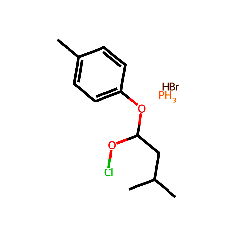 Br.Cc1ccc(OC(CC(C)C)OCl)cc1.P